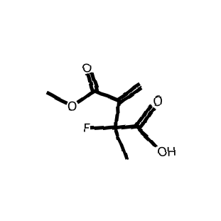 C=C(C(=O)OC)C(C)(F)C(=O)O